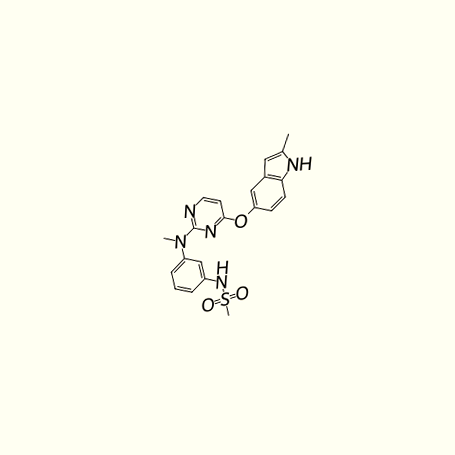 Cc1cc2cc(Oc3ccnc(N(C)c4cccc(NS(C)(=O)=O)c4)n3)ccc2[nH]1